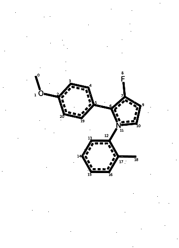 COc1ccc(-c2c(F)ccn2-c2ccccc2C)cc1